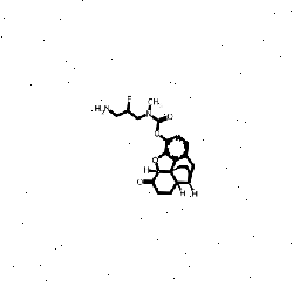 CN(CC(F)CN)C(=O)Oc1ccc2c3c1O[C@H]1C(=O)CC[C@H]4[C@H](CCC[C@]314)C2